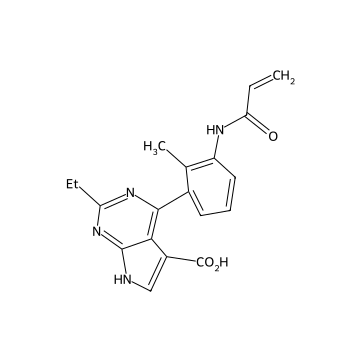 C=CC(=O)Nc1cccc(-c2nc(CC)nc3[nH]cc(C(=O)O)c23)c1C